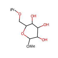 COC1OC(COC(C)C)C(O)C(O)C1O